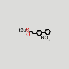 CC(C)(C)OC(=O)/C=C/c1ccc(-c2ccccc2)c([N+](=O)[O-])c1